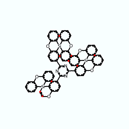 c1ccc2c(c1)Oc1ccccc1[Si]21c2ccccc2Oc2ccc(-c3nc(-c4ccc5c(c4)[Si]4(c6ccccc6Oc6ccccc64)c4ccccc4O5)nc(-c4ccc5c(c4)[Si]4(c6ccccc6Oc6ccccc64)c4ccccc4O5)n3)cc21